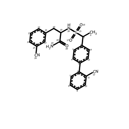 CC(c1ccc(-c2ccccc2C#N)cc1)S(=O)(=O)NC(Cc1cccc(C#N)c1)C(N)=O